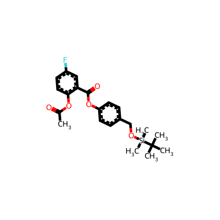 CC(=O)Oc1ccc(F)cc1C(=O)Oc1ccc(CO[Si](C)(C)C(C)(C)C)cc1